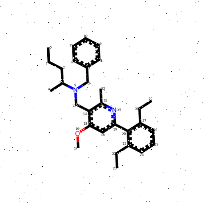 CCCC(C)N(Cc1ccccc1)Cc1c(OC)cc(-c2c(CC)cccc2CC)nc1C